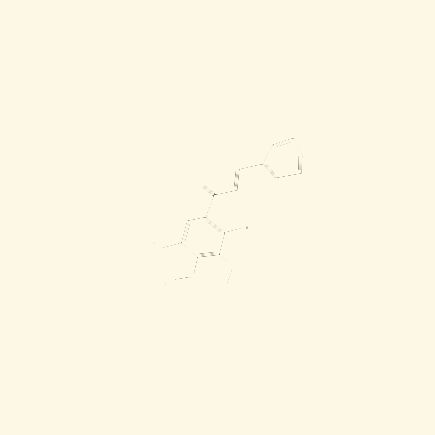 COc1cc(C(=O)C=Cc2ccccc2)c(O)c(OC)c1OC